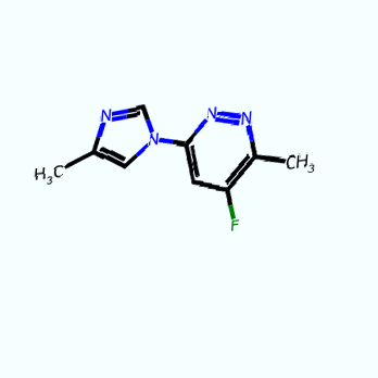 Cc1cn(-c2cc(F)c(C)nn2)cn1